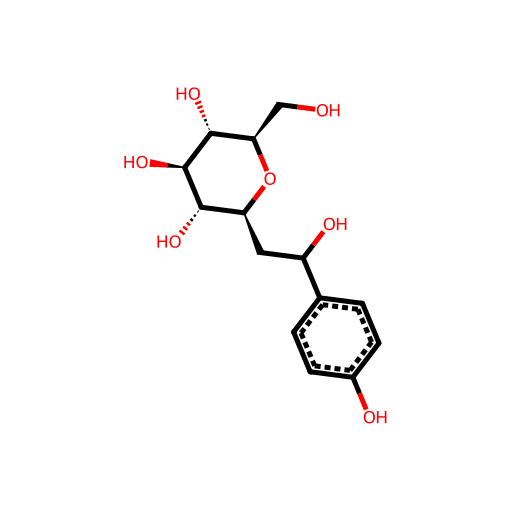 OC[C@H]1O[C@@H](CC(O)c2ccc(O)cc2)[C@H](O)[C@@H](O)[C@@H]1O